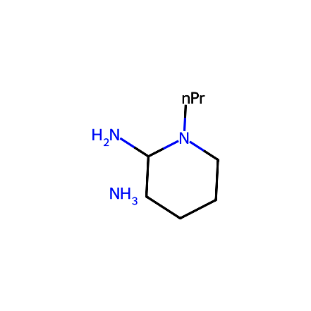 CCCN1CCCCC1N.N